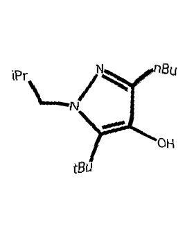 CCCCc1nn(CC(C)C)c(C(C)(C)C)c1O